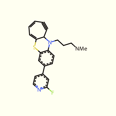 CNCCCN1c2ccc(-c3ccnc(F)c3)cc2SC2=CC=CC#CC21